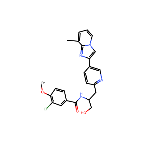 Cc1cccn2cc(-c3ccc(CC(CO)NC(=O)c4ccc(OC(C)C)c(Cl)c4)nc3)nc12